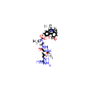 CC(=O)N[C@H](CCCNC(=N)N)C(=O)NCCN(C)C(=O)Oc1ccc2c3c1O[C@H]1C(=O)CC[C@H]4[C@@H](C2)N(C)CC[C@]314